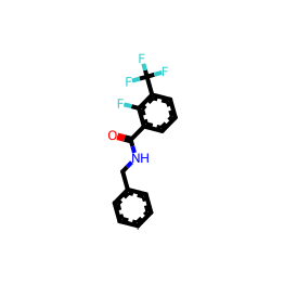 O=C(NCc1cc[c]cc1)c1cccc(C(F)(F)F)c1F